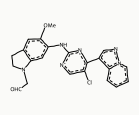 COc1cc2c(cc1Nc1ncc(Cl)c(-c3cnn4ccccc34)n1)N(CC=O)CC2